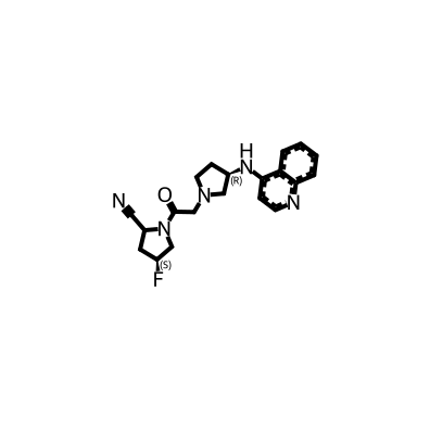 N#CC1C[C@H](F)CN1C(=O)CN1CC[C@@H](Nc2ccnc3ccccc23)C1